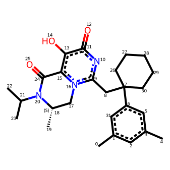 Cc1cc(C)cc(C2(Cc3nc(=O)c(O)c4n3C[C@H](C)N(C(C)C)C4=O)CCCCC2)c1